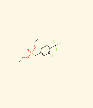 CCOP(=O)(Cc1ccc(C(F)(F)F)c(F)c1)OCC